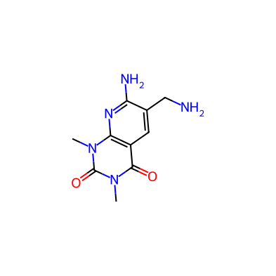 Cn1c(=O)c2cc(CN)c(N)nc2n(C)c1=O